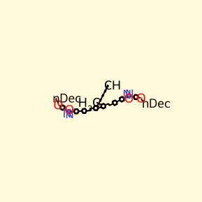 C#CC#CC#CC#CC1(C)c2cc(/C=C/c3ccc(-c4ccc(-c5nnc(-c6ccc(OCCCCCCCCCCCC)cc6)o5)cc4)cc3)ccc2-c2ccc(/C=C/c3ccc(-c4ccc(-c5nnc(-c6ccc(OCCCCCCCCCCCC)cc6)o5)cc4)cc3)cc21